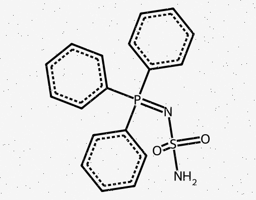 NS(=O)(=O)N=P(c1ccccc1)(c1ccccc1)c1ccccc1